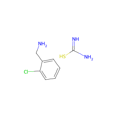 N=C(N)S.NCc1ccccc1Cl